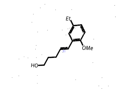 CCc1ccc(OC)c(/C=C/CCCO)c1